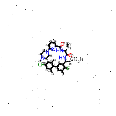 Cc1cc(-c2c(C)cc(Cl)cc2C)cc([C@H](CC(=O)O)NC(=O)[C@H](CC(C)C)NC(=O)c2cccc(N3CCN(C)CC3)n2)c1F